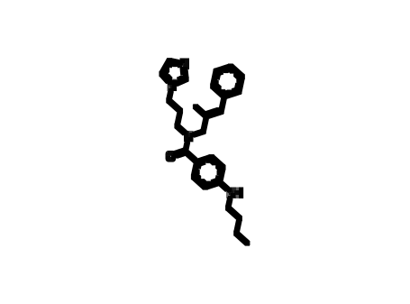 CCCCNc1ccc(C(=O)N(CCCn2ccnc2)C/C(C)=C/c2ccccc2)cc1